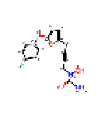 NC(=O)N(O)CC#CCc1ccc(Oc2ccc(F)cc2)o1